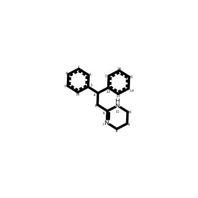 c1ccc(C(CC2=NCCCN2)c2ccccc2)cc1